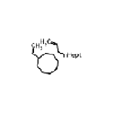 C=CC1CCCCCCC1.C=CCCCCCCCC